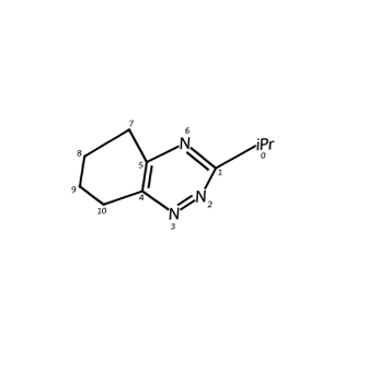 CC(C)c1nnc2c(n1)CCCC2